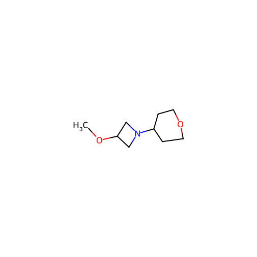 COC1CN(C2CCOCC2)C1